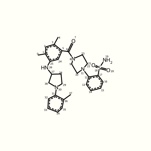 Cc1cc(C)c(C(=O)N2CCN(c3ccccc3S(N)(=O)=O)CC2)cc1NC1CCN(c2ccccc2C)C1